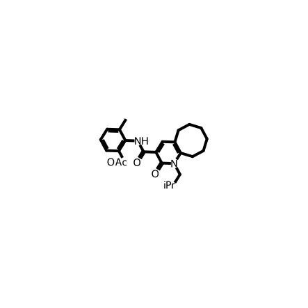 CC(=O)Oc1cccc(C)c1NC(=O)c1cc2c(n(CC(C)C)c1=O)CCCCCC2